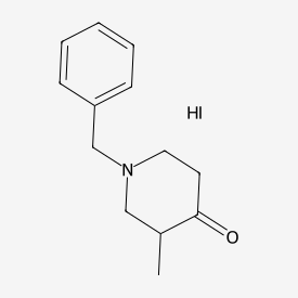 CC1CN(Cc2ccccc2)CCC1=O.I